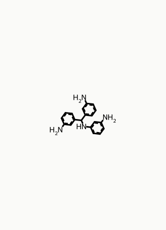 Nc1cccc(NC(c2cccc(N)c2)c2cccc(N)c2)c1